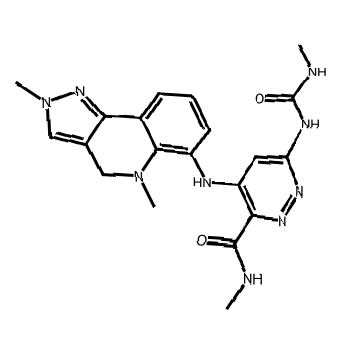 CNC(=O)Nc1cc(Nc2cccc3c2N(C)Cc2cn(C)nc2-3)c(C(=O)NC)nn1